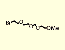 COCCOCOCCOCCBr